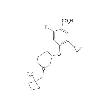 O=C(O)c1cc(C2CC2)c(OC2CCCN(CC3(C(F)(F)F)CCC3)C2)cc1F